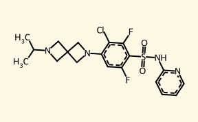 CC(C)N1CC2(CN(c3cc(F)c(S(=O)(=O)Nc4ccccn4)c(F)c3Cl)C2)C1